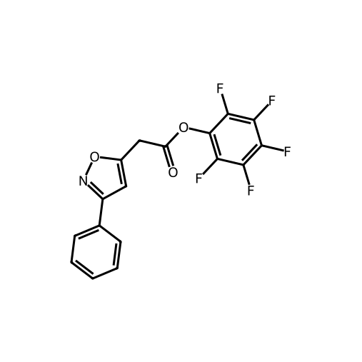 O=C(Cc1cc(-c2ccccc2)no1)Oc1c(F)c(F)c(F)c(F)c1F